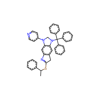 CC(SC1=Nc2cc3c(cc2C1)N(C(c1ccccc1)(c1ccccc1)c1ccccc1)CN3c1ccncc1)c1ccccc1